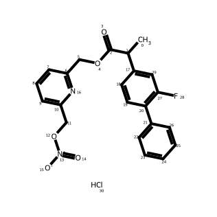 CC(C(=O)OCc1cccc(CO[N+](=O)[O-])n1)c1ccc(-c2ccccc2)c(F)c1.Cl